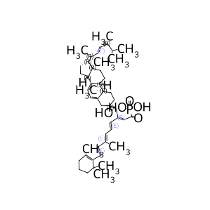 CC1=C(/C=C/C(C)=C/C=C/C(=C/C(=O)P(=O)(O)O)C[C@]2(O)CC[C@@]3(C)C(=CC=C4[C@@H]5CC[C@H]([C@H](C)/C=C/[C@H](C)C(C)C)[C@@]5(C)CC[C@@H]43)C2)C(C)(C)CCC1